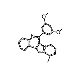 COc1cc(OC)cc(-c2nc3ccccc3c3cc4c(C)cccn4c23)c1